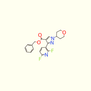 O=C(OCc1ccccc1)c1cn(C2CCOCC2)nc1-c1ccc(F)nc1F